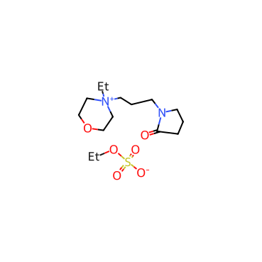 CCOS(=O)(=O)[O-].CC[N+]1(CCCN2CCCC2=O)CCOCC1